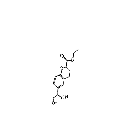 CCOC(=O)C1CCc2cc(C(O)CO)ccc2O1